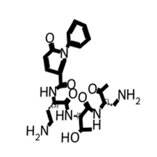 CC(=O)[C@H](CN)NC(=O)[C@@H](NC(=O)[C@H](CCN)NC(=O)c1ccc(=O)n(-c2ccccc2)c1)C(C)O